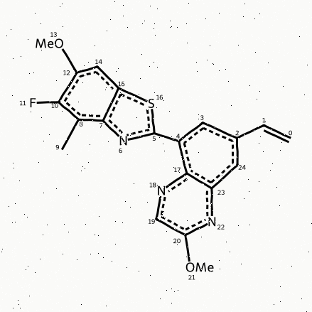 C=Cc1cc(-c2nc3c(C)c(F)c(OC)cc3s2)c2ncc(OC)nc2c1